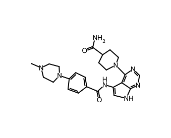 CN1CCN(c2ccc(C(=O)Nc3c[nH]c4ncnc(N5CCC(C(N)=O)CC5)c34)cc2)CC1